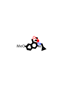 COc1ccc2c(c1)[C@]13CCN(CC4CC4)[C@H](C2)[C@]1(C)OCOC3